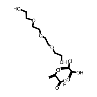 C=C(Cl)C(=O)O.C=C(Cl)C(=O)O.OCCOCCOCCOCCO